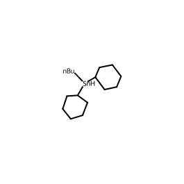 CCC[CH2][SnH]([CH]1CCCCC1)[CH]1CCCCC1